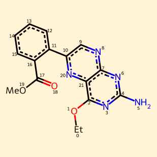 CCOc1nc(N)nc2ncc(-c3ccccc3C(=O)OC)nc12